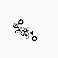 CCC12CN(C(=O)Nc3ccnn3-c3ccccc3)CCN1C(=O)N([C@H]1C[C@@H]1c1ccccc1)C2=O